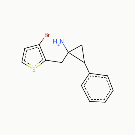 NC1(Cc2sccc2Br)CC1c1ccccc1